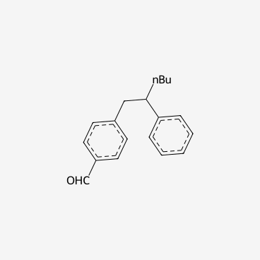 CCCCC(Cc1ccc(C=O)cc1)c1ccccc1